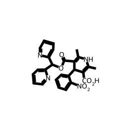 CC1=C(C(=O)O)C(c2ccccc2[N+](=O)[O-])C(C(=O)OC(c2ccccn2)c2ccccn2)=C(C)N1